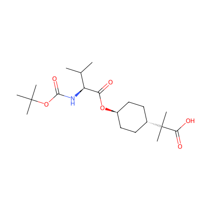 CC(C)[C@H](NC(=O)OC(C)(C)C)C(=O)O[C@H]1CC[C@H](C(C)(C)C(=O)O)CC1